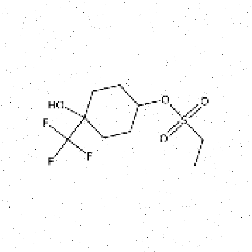 CCS(=O)(=O)OC1CCC(O)(C(F)(F)F)CC1